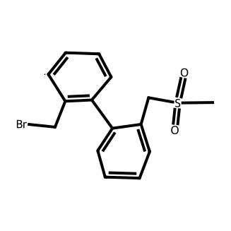 CS(=O)(=O)Cc1ccccc1-c1ccc[c]c1CBr